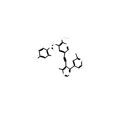 COc1ncc(C#Cc2c(C)ncnc2-c2ccnc(C)c2)cc1NS(=O)(=O)c1ccc(F)cc1F